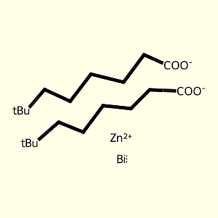 CC(C)(C)CCCCCC(=O)[O-].CC(C)(C)CCCCCC(=O)[O-].[Bi].[Zn+2]